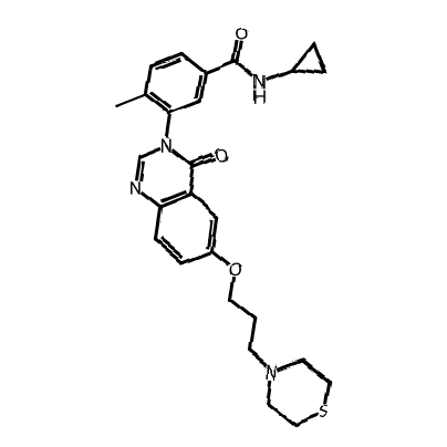 Cc1ccc(C(=O)NC2CC2)cc1-n1cnc2ccc(OCCCN3CCSCC3)cc2c1=O